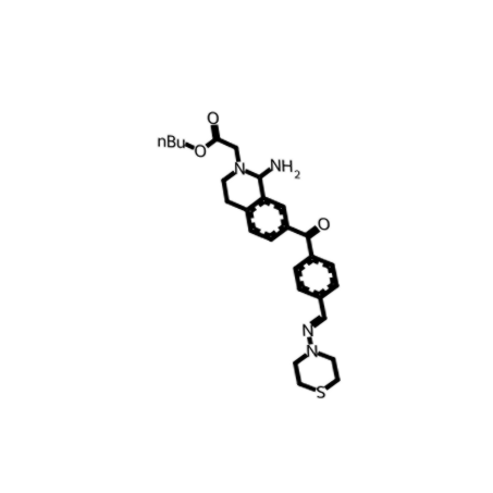 CCCCOC(=O)CN1CCc2ccc(C(=O)c3ccc(C=NN4CCSCC4)cc3)cc2C1N